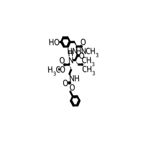 CNC(=O)[C@H](Cc1ccc(O)cc1)NC(=O)[C@H](CC(C)C)N[C@H](CCNC(=O)OCc1ccccc1)C(=O)OC